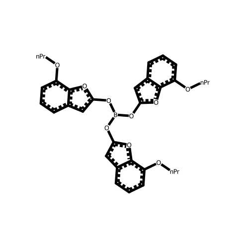 CCCOc1cccc2cc(OB(Oc3cc4cccc(OCCC)c4o3)Oc3cc4cccc(OCCC)c4o3)oc12